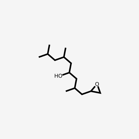 CC(C)CC(C)CC(O)CC(C)CC1CO1